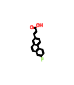 O=C(O)C=Cc1ccc2c(ccc3cc(F)ccc32)c1